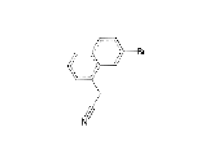 N#CCc1cccc2ccc(Br)cc12